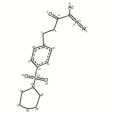 CC(=O)C(=[N+]=[N-])C(=O)CCc1ccc(S(=O)(=O)N2CCCCC2)cc1